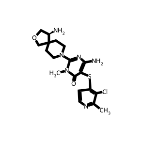 Cc1nccc(Sc2c(N)nc(N3CCC4(CC3)COC[C@H]4N)n(C)c2=O)c1Cl